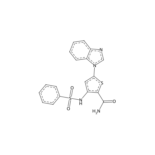 NC(=O)c1sc(-n2cnc3ccccc32)cc1NS(=O)(=O)c1ccccc1